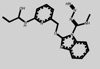 CCC(O)Nc1cccc(COc2nc3ccccc3n2/C(=N/N=N)NC)n1